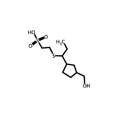 CCC(SCCS(=O)(=O)O)C1CCC(CO)C1